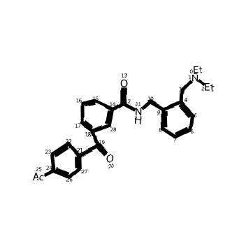 CCN(CC)Cc1ccccc1CNC(=O)c1cccc(C(=O)c2ccc(C(C)=O)cc2)c1